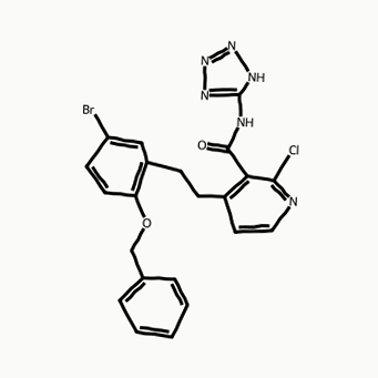 O=C(Nc1nnn[nH]1)c1c(CCc2cc(Br)ccc2OCc2ccccc2)ccnc1Cl